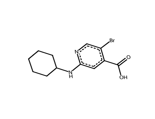 O=C(O)c1cc(NC2CCCCC2)ncc1Br